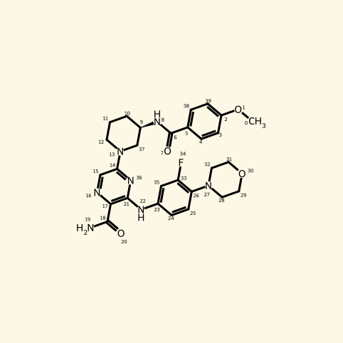 COc1ccc(C(=O)N[C@@H]2CCCN(c3cnc(C(N)=O)c(Nc4ccc(N5CCOCC5)c(F)c4)n3)C2)cc1